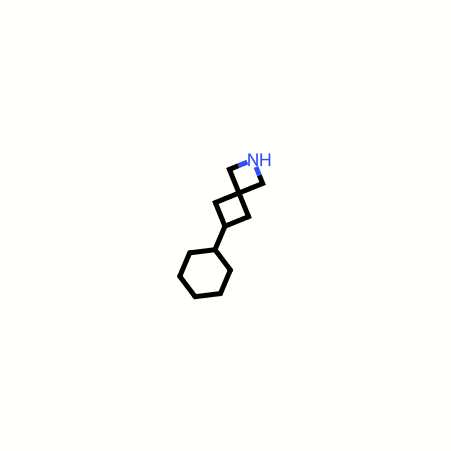 C1CCC(C2CC3(CNC3)C2)CC1